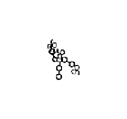 C=CC(=O)Oc1ccc(C2=CC(C(c3ccc(-c4ccccc4)cc3)c3cc(-c4ccc(OC(=O)C=C)cc4)ccc3OC(=O)C=C)C=C2)cc1